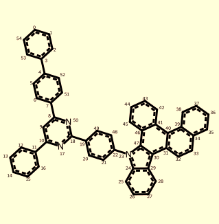 c1ccc(-c2ccc(-c3cc(-c4ccccc4)nc(-c4ccc(-n5c6ccccc6c6c7ccc8ccccc8c7c7ccccc7c65)cc4)n3)cc2)cc1